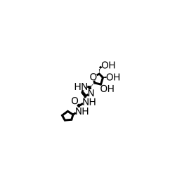 O=C(Nc1c[nH]c([C@@H]2O[C@H](CO)[C@@H](O)[C@H]2O)n1)NC1CCCC1